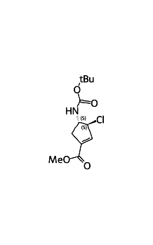 COC(=O)C1=C[C@H](Cl)[C@@H](NC(=O)OC(C)(C)C)C1